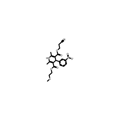 CSCCOC(=O)C1=C(C)NC(C)=C(C(=O)OCCC#N)C1c1cccc([N+](=O)[O-])c1